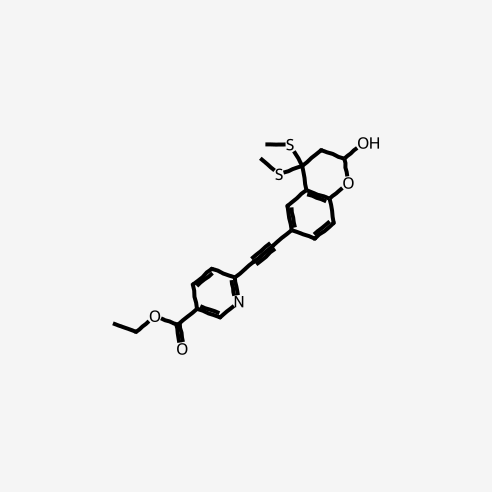 CCOC(=O)c1ccc(C#Cc2ccc3c(c2)C(SC)(SC)CC(O)O3)nc1